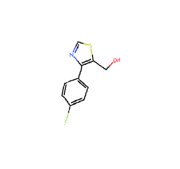 OCc1scnc1-c1ccc(F)cc1